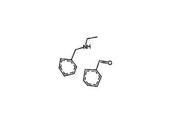 CCNCc1ccccc1.O=Cc1ccccc1